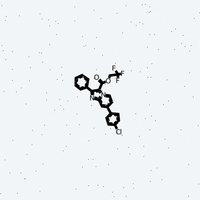 O=C(OCC(F)(F)F)c1c(-c2ccccc2)nc2cc(-c3ccc(Cl)cc3)ccn12